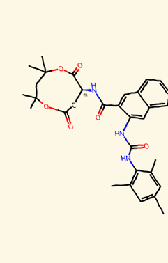 Cc1cc(C)c(NC(=O)Nc2cc3ccccc3cc2C(=O)N[C@H]2CC(=O)OC(C)(C)CC(C)(C)OC2=O)c(C)c1